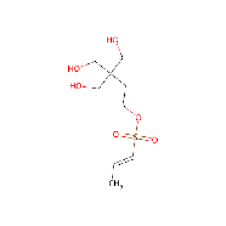 CC=CS(=O)(=O)OCCC(CO)(CO)CO